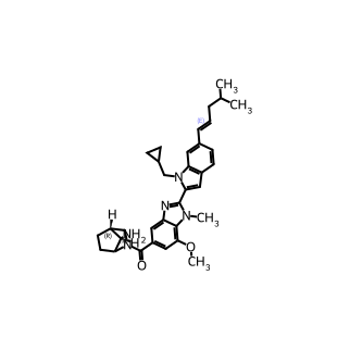 COc1cc(C(=O)N2C[C@H]3CCC2[C@H]3N)cc2nc(-c3cc4ccc(/C=C/CC(C)C)cc4n3CC3CC3)n(C)c12